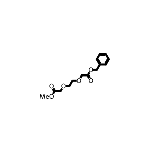 COC(=O)COCCOCC(=O)OCc1ccccc1